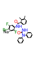 Cc1cccc(C(=O)Nc2cc(F)c(Br)cc2F)c1C.N=C([O-])N(c1ccccc1)c1ccccc1.[Na+]